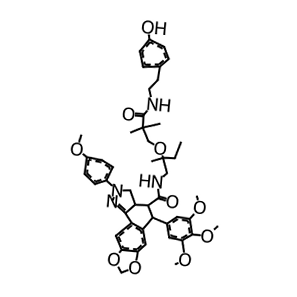 CCC(C)(CNC(=O)C1C2CN(c3ccc(OC)cc3)N=C2c2cc3c(cc2C1c1cc(OC)c(OC)c(OC)c1)OCO3)OCC(C)(C)C(=O)NCCc1ccc(O)cc1